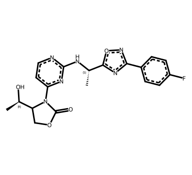 C[C@H](Nc1nccc(N2C(=O)OCC2[C@@H](C)O)n1)c1nc(-c2ccc(F)cc2)no1